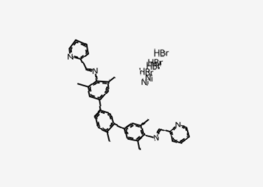 Br.Br.Br.Br.Cc1ccc(-c2cc(C)c(N=Cc3ccccn3)c(C)c2)cc1-c1cc(C)c(N=Cc2ccccn2)c(C)c1.[Ni].[Ni]